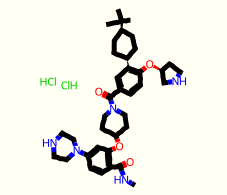 CNC(=O)c1ccc(N2CCNCC2)cc1OC1CCN(C(=O)c2ccc(O[C@H]3CCNC3)c([C@H]3CC[C@H](C(C)(C)C)CC3)c2)CC1.Cl.Cl